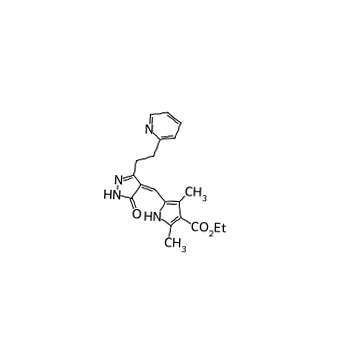 CCOC(=O)c1c(C)[nH]c(C=C2C(=O)NN=C2CCc2ccccn2)c1C